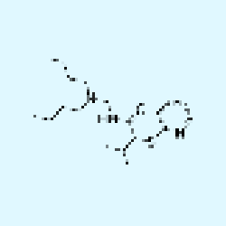 CCCCN(CCCC)CNC(=O)C(Sc1ccccn1)C(C)C